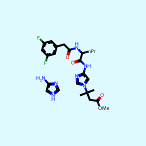 CCCC(NC(=O)Cc1cc(F)cc(F)c1)C(=O)Nc1cn(C(C)(C)CC(=O)OC)cn1.Nc1c[nH]cn1